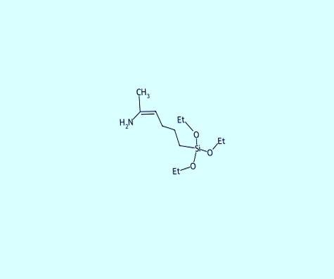 CCO[Si](CCCC=C(C)N)(OCC)OCC